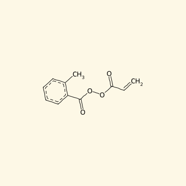 C=CC(=O)OOC(=O)c1ccccc1C